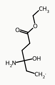 [CH2]CC(N)(O)CCC(=O)OCC